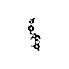 Cc1cc(F)c(Oc2nccc3c2C(=O)N(Cc2ccc(-n4cnc(C)c4)cc2)C3)c(F)c1